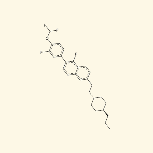 CCC[C@H]1CC[C@H](CCc2ccc3c(F)c(-c4ccc(OC(F)F)c(F)c4)ccc3c2)CC1